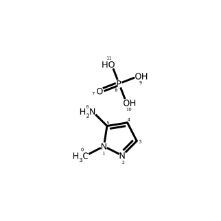 Cn1nccc1N.O=P(O)(O)O